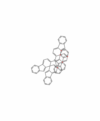 C1=CC2(C3=Cc4ccccc4C3=C1)C1=Cc3ccccc3C1=CC=C2N(C1=CC=C2C(=Cc3ccccc32)C12C=CC=C1C2=Cc2ccccc21)c1ccccc1-c1ccccc1